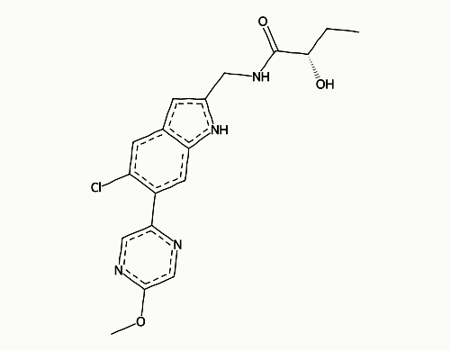 CC[C@H](O)C(=O)NCc1cc2cc(Cl)c(-c3cnc(OC)cn3)cc2[nH]1